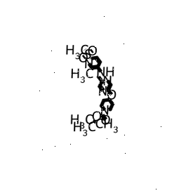 Cc1nc(S(C)(=O)=O)ccc1NCc1cnc(OC2CCN(C(=O)OC(C)(C)C)CC2)cn1